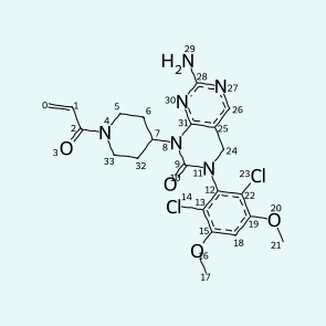 C=CC(=O)N1CCC(N2C(=O)N(c3c(Cl)c(OC)cc(OC)c3Cl)Cc3cnc(N)nc32)CC1